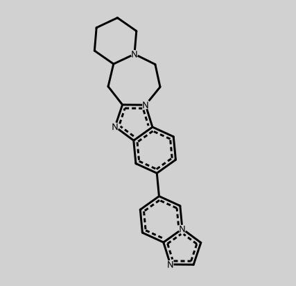 c1cn2cc(-c3ccc4c(c3)nc3n4CCN4CCCCC4C3)ccc2n1